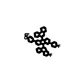 Fc1ccc(-c2ccc3c(-c4cc5ccccc5c5ccccc45)c4cc(-c5ccc(OC(F)(F)F)cc5)ccc4c(-c4cc5cc(F)ccc5c5ccccc45)c3c2)cc1